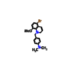 COc1ccc(Br)c2c1N(Cc1ccc(N(C)C)cc1)CC=C2